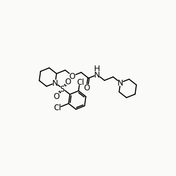 O=C(COCC1CCCCN1S(=O)(=O)c1c(Cl)cccc1Cl)NCCN1CCCCC1